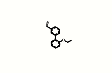 CCOc1ccccc1-c1cccc(CBr)c1